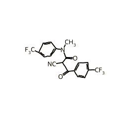 CN(C(=O)C(C#N)C(=O)c1ccc(C(F)(F)F)cc1)c1ccc(C(F)(F)F)cc1